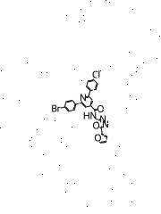 O=C(Nc1nnc(-c2ccco2)o1)c1cc(-c2ccc(Cl)cc2)nc(-c2ccc(Br)cc2)c1